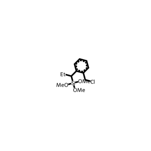 CCC(c1ccccc1CCl)[Si](OC)(OC)OC